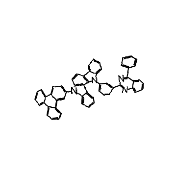 c1ccc(-c2nc(-c3cccc(-n4c5ccccc5c5ccc6c(c7ccccc7n6-c6ccc7c8ccccc8c8ccccc8c7c6)c54)c3)nc3ccccc23)cc1